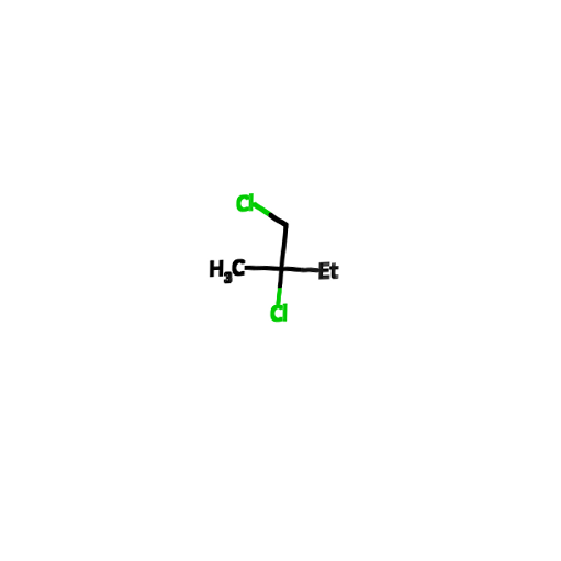 [CH2]CC(C)(Cl)CCl